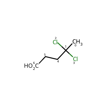 CC(Cl)(Cl)CCC(=O)O